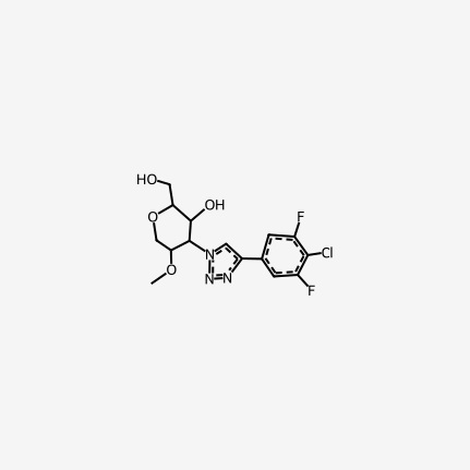 COC1COC(CO)C(O)C1n1cc(-c2cc(F)c(Cl)c(F)c2)nn1